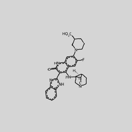 O=C(O)C1CCCN(c2cc3[nH]c(=O)c(-c4nc5ccccc5[nH]4)c(N[C@@H]4CN5CCC4CC5)c3cc2F)C1